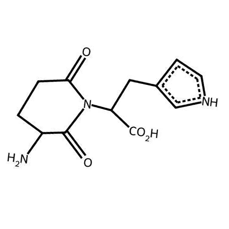 NC1CCC(=O)N(C(Cc2cc[nH]c2)C(=O)O)C1=O